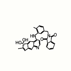 CC1=Cc2cc3nccc(Nc4cc(CN5C(=O)c6ccccc6C5=O)ccc4C)c3cc2S1(O)O